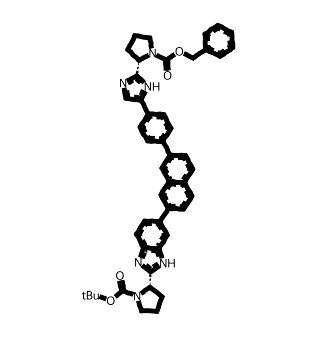 CC(C)(C)OC(=O)N1CCC[C@H]1c1nc2ccc(-c3ccc4ccc(-c5ccc(-c6cnc([C@@H]7CCCN7C(=O)OCc7ccccc7)[nH]6)cc5)cc4c3)cc2[nH]1